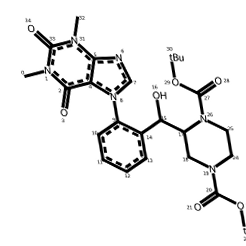 Cn1c(=O)c2c(ncn2-c2ccccc2C(O)C2CN(C(=O)OC(C)(C)C)CCN2C(=O)OC(C)(C)C)n(C)c1=O